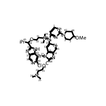 COC1CCN(c2nccc(N(c3cc4c(cn3)nc(COCCN(C)C)n4C(C)C)[N+](C)(C)CCOC(c3nc4cnc(Cl)cc4[nH]3)C(C)C)n2)CC1